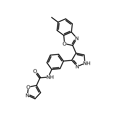 Cc1ccc2nc(-c3c[nH]nc3-c3cccc(NC(=O)c4ccno4)c3)oc2c1